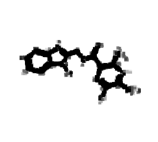 CCn1c(COC(=O)c2nc(Cl)c(N)nc2N)nc2ccccc21